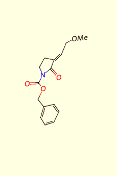 COC/C=C1\CCN(C(=O)OCc2ccccc2)C1=O